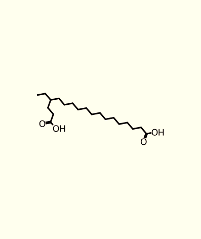 CCC(CCCCCCCCCCCCCC(=O)O)CCC(=O)O